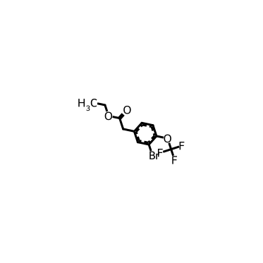 CCOC(=O)Cc1ccc(OC(F)(F)F)c(Br)c1